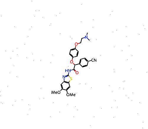 COc1cc2nc(NC(=O)C(Oc3ccc(OCCN(C)C)cc3)c3ccc(C#N)cc3)sc2cc1OC